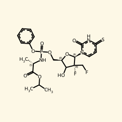 CC(C)OC(=O)[C@H](C)NP(=O)(OC[C@H]1O[C@@H](n2ccc(=S)[nH]c2=O)[C@@](F)(CF)C1O)Oc1ccccc1